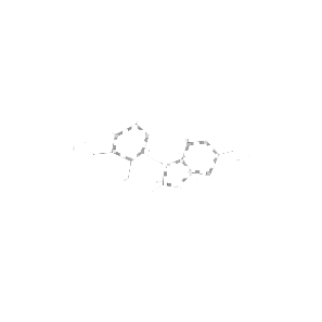 Cc1c(CC(C)C)cccc1-n1c(C(F)(F)F)nc2cc(C(F)(F)F)ccc21